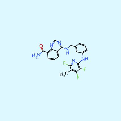 Cc1c(F)nc(Nc2cccc(CNc3ncnc4c(C(N)=O)cccc34)c2)c(F)c1F